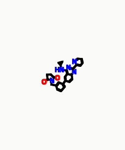 O=C1CCC(=O)N1Cc1cccc(-c2ccc3nc(-c4ccccn4)nc(NC4CC4)c3c2)c1